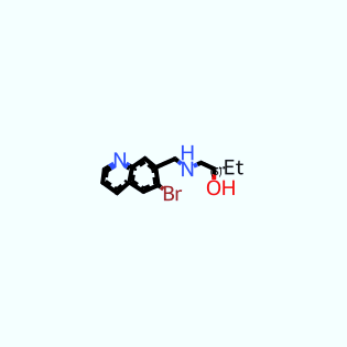 CC[C@H](O)CNCc1cc2ncccc2cc1Br